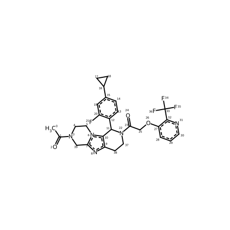 CC(=O)N1CCn2c(nc3c2C(c2ccc(C4CC4)cc2F)N(C(=O)COc2cccnc2C(F)(F)F)CC3)C1